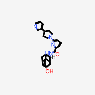 O=C(N[C@H]1C2CC3CC1C[C@](O)(C3)C2)c1cccc(N2CCC(c3cccnc3)CC2)n1